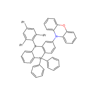 CC(C)c1cc(C(C)C)c(B2c3ccccc3[Si](c3ccccc3)(c3ccccc3)c3ccc(N4c5ccccc5Oc5ccccc54)cc32)c(C(C)C)c1